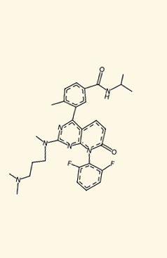 Cc1ccc(C(=O)NC(C)C)cc1-c1nc(N(C)CCCN(C)C)nc2c1ccc(=O)n2-c1c(F)cccc1F